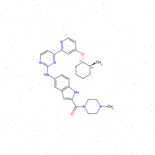 C[C@H]1CCCC[C@@H]1Oc1ccnc(-c2ccnc(Nc3ccc4[nH]c(C(=O)N5CCN(C)CC5)cc4c3)n2)c1